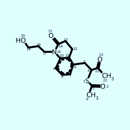 CC(=O)SC(Cc1cccc2c1CCC(=O)N2CCCO)C(C)=O